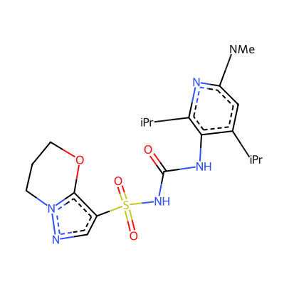 CNc1cc(C(C)C)c(NC(=O)NS(=O)(=O)c2cnn3c2OCCC3)c(C(C)C)n1